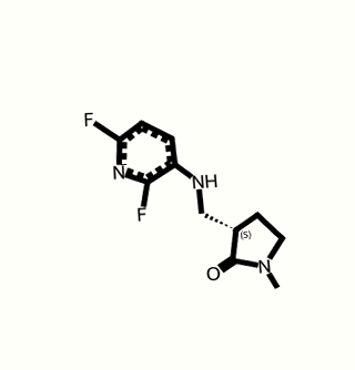 CN1CC[C@@H](CNc2ccc(F)nc2F)C1=O